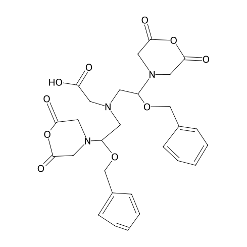 O=C(O)CN(CC(OCc1ccccc1)N1CC(=O)OC(=O)C1)CC(OCc1ccccc1)N1CC(=O)OC(=O)C1